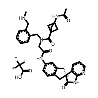 CNCc1ccccc1CN(CC(=O)Nc1ccc2c(c1)C[C@@]1(C2)C(=O)Nc2ncccc21)C(=O)C12CC(NC(C)=O)(C1)C2.O=C(O)C(F)(F)F